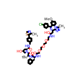 COc1ccc2c(c1)C(c1ccc(Cl)cc1)=NC(CC(O)NCCOCCOCCOCC(=O)N[C@@H](Cc1ccccc1)C(=O)N[C@H](C(=O)N1C[C@H](O)C[C@H]1C(=O)NCc1ccc(-c3scnc3C)cc1)C(C)(C)C)c1nnc(C)n1-2